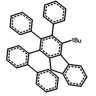 CC(C)(C)c1c2c(c(-c3ccccc3-c3ccccc3)c(-c3ccccc3)c1-c1ccccc1)Cc1ccccc1-2